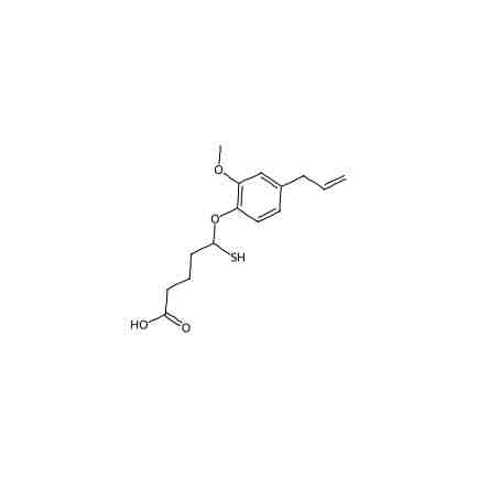 C=CCc1ccc(OC(S)CCCC(=O)O)c(OC)c1